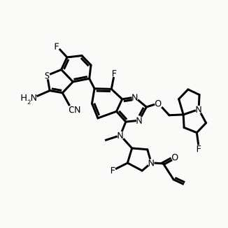 C=CC(=O)N1CC(F)C(N(C)c2nc(OCC34CCCN3CC(F)C4)nc3c(F)c(-c4ccc(F)c5sc(N)c(C#N)c45)ccc23)C1